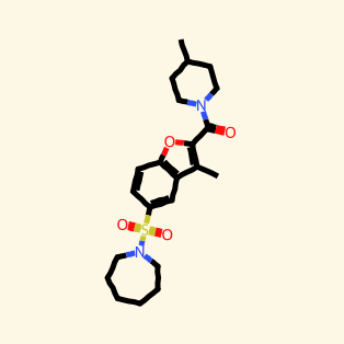 Cc1c(C(=O)N2CCC(C)CC2)oc2ccc(S(=O)(=O)N3CCCCCC3)cc12